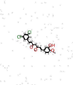 COc1ccc(C=CC(=O)CC(=O)C=Cc2cc(Cl)cc(Cl)c2)cc1O